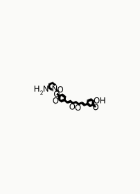 COc1cc(C=CC(=O)CC(=O)C=Cc2ccc(OC(=O)N3CCCC(N)C3)c(OC)c2)ccc1O